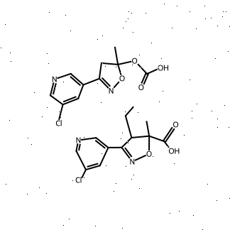 CC1(OC(=O)O)CC(c2cncc(Cl)c2)=NO1.CCC1C(c2cncc(Cl)c2)=NOC1(C)C(=O)O